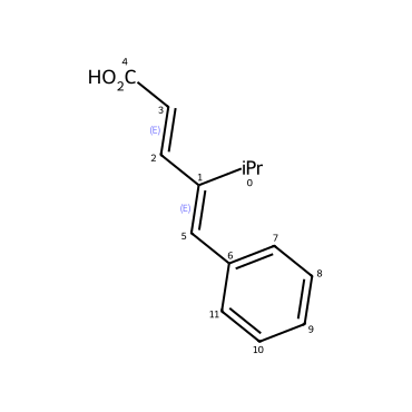 CC(C)C(/C=C/C(=O)O)=C\c1ccccc1